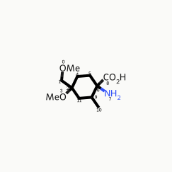 COCC1(OC)CCC(N)(C(=O)O)C(C)C1